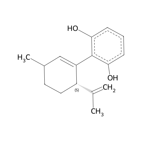 C=C(C)[C@@H]1CCC(C)C=C1c1c(O)cccc1O